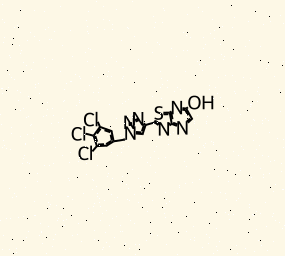 Oc1cnc2nc(-c3cn(Cc4cc(Cl)c(Cl)c(Cl)c4)nn3)sc2n1